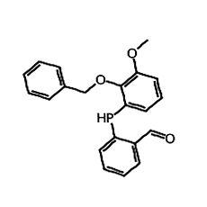 COc1cccc(Pc2ccccc2C=O)c1OCc1ccccc1